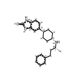 C[C@H](CCc1ccccc1)N[C@H]1CC[C@H](c2ccc3[nH]c(=O)oc3c2)CC1